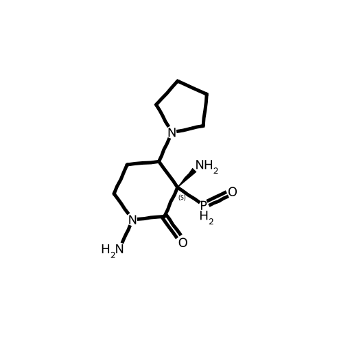 NN1CCC(N2CCCC2)[C@](N)([PH2]=O)C1=O